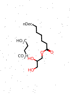 CCCCCCCCCCCCCCCC(=O)OCC(O)CO.O=C(O)CCC(=O)O